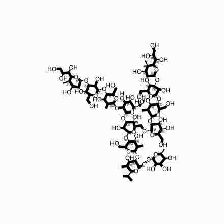 CC(C)[C@@H]1OC(CO[C@@H]2O[C@@H](C)[C@@H](O)C(O)C2O)[C@@H](O[C@@H]2OC(CO)[C@@H](O[C@@H]3OC(CO[C@H]4OC(CO)[C@@H](O)[C@H](O)C4O[C@@H]4OC(CO)[C@@H](O[C@@H]5OC(CO)[C@H](O)[C@H](O[C@@H]6C[C@@H](O)[C@@H](C)C([C@H](O)[C@H](O)CO)O6)C5O)[C@H](O)C4C)[C@@H](O)[C@H](O[C@H]4O[C@@H](CO)[C@@H](O)C(O)C4O[C@@H]4OC(CO)[C@@H](O[C@@H]5OC(CO)[C@H](O)[C@H](O[C@@H]6C[C@@H](O)[C@@H](C)C([C@H](O)[C@H](O)CO)O6)C5O)[C@H](O)C4C)C3O)[C@H](O)C2C)[C@H](O)C1C